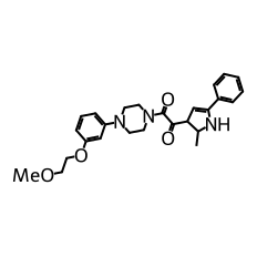 COCCOc1cccc(N2CCN(C(=O)C(=O)C3C=C(c4ccccc4)NC3C)CC2)c1